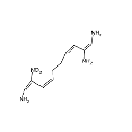 N/C=C(N)\C=C/CC/C=C\C(=C/N)[N+](=O)[O-]